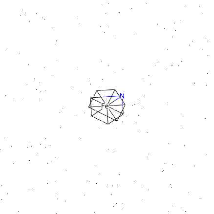 [CH]12[CH]3[CH]4[CH]5[CH]1[Fe]23451678[CH]2[CH]1[CH]6[N]7[CH]28